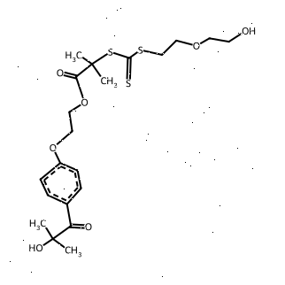 CC(C)(O)C(=O)c1ccc(OCCOC(=O)C(C)(C)SC(=S)SCCOCCO)cc1